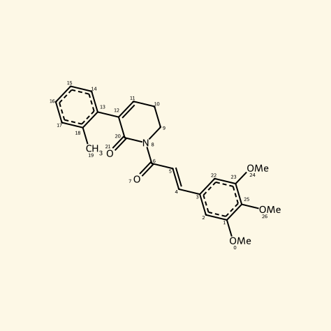 COc1cc(C=CC(=O)N2CCC=C(c3ccccc3C)C2=O)cc(OC)c1OC